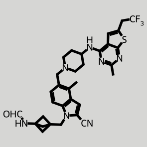 Cc1nc(NC2CCN(Cc3ccc4c(cc(C#N)n4CC45CC(NC=O)(C4)C5)c3C)CC2)c2cc(CC(F)(F)F)sc2n1